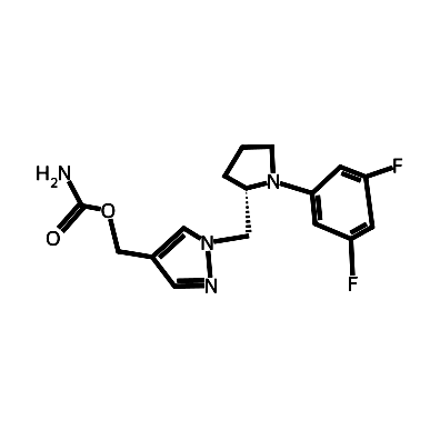 NC(=O)OCc1cnn(C[C@@H]2CCCN2c2cc(F)cc(F)c2)c1